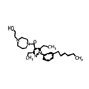 CCCCCCc1cccc(-n2nc(CC)c(C(=O)N3CCCN(CCO)CC3)c2CC)c1